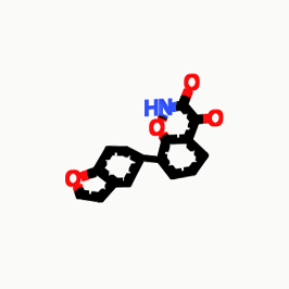 O=c1[nH]oc2c(-c3ccc4occc4c3)cccc2c1=O